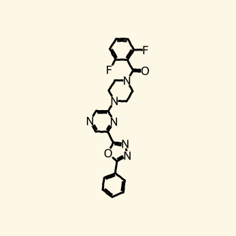 O=C(c1c(F)cccc1F)N1CCN(c2cncc(-c3nnc(-c4ccccc4)o3)n2)CC1